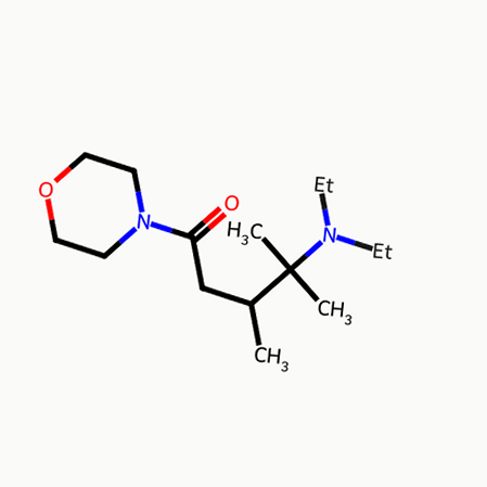 CCN(CC)C(C)(C)C(C)CC(=O)N1CCOCC1